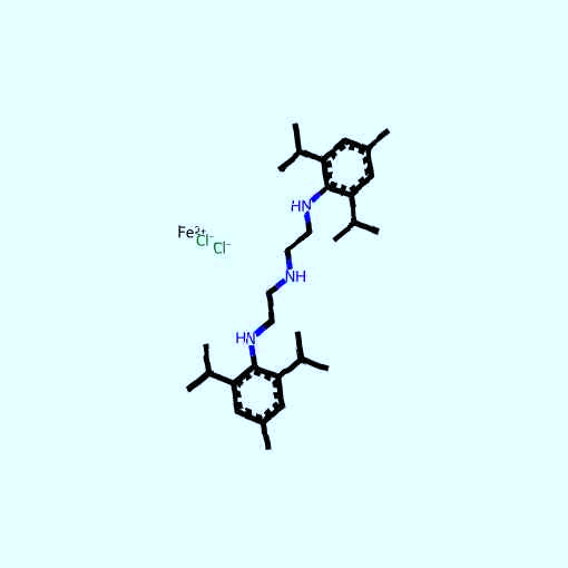 Cc1cc(C(C)C)c(NCCNCCNc2c(C(C)C)cc(C)cc2C(C)C)c(C(C)C)c1.[Cl-].[Cl-].[Fe+2]